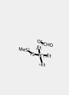 CC[N+](CC)(CC)SSC.O=C[O-]